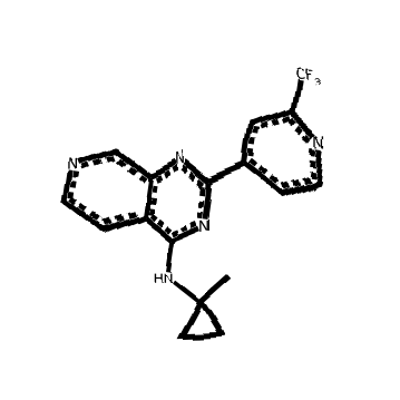 CC1(Nc2nc(-c3ccnc(C(F)(F)F)c3)nc3cnccc23)CC1